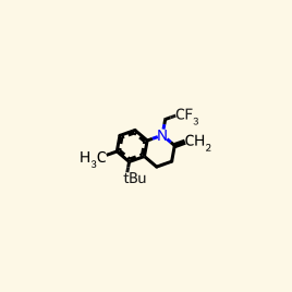 C=C1CCc2c(ccc(C)c2C(C)(C)C)N1CC(F)(F)F